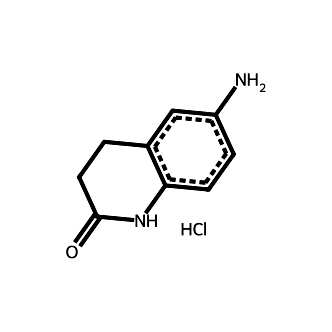 Cl.Nc1ccc2c(c1)CCC(=O)N2